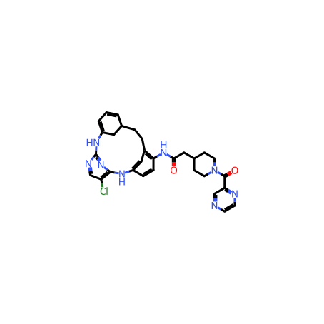 O=C(CC1CCN(C(=O)c2cnccn2)CC1)Nc1ccc2cc1CCC1C=CC=C(C1)Nc1ncc(Cl)c(n1)N2